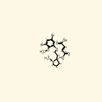 COc1c(Br)cc(Br)cc1OCCC1CCCN1C.O=C(O)/C=C/C(=O)O